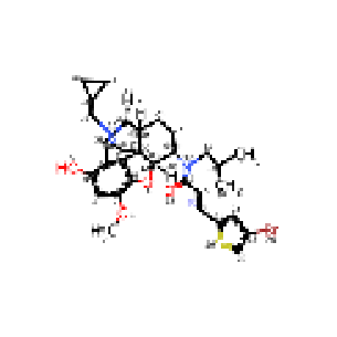 COc1cc(O)c2c3c1O[C@H]1[C@@H](N(CC(C)C)C(=O)/C=C/c4cc(Br)cs4)CC[C@H]4[C@@H](C2)N(CC2CC2)CC[C@@]341